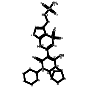 CS(=O)(=O)NCc1csc2c1S(=O)(=O)N=C(C1=C(O)C3C4CCC(C4)C3N(C3CCCCC3)C1=O)N2